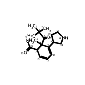 CC(C)(C)C(=O)C1(C)C(C2CCNC2)=CC=CC1C(N)=O